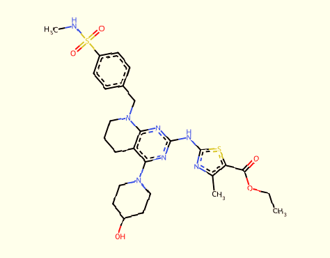 CCOC(=O)c1sc(Nc2nc(N3CCC(O)CC3)c3c(n2)N(Cc2ccc(S(=O)(=O)NC)cc2)CCC3)nc1C